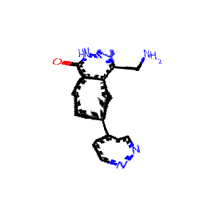 NCc1n[nH]c(=O)c2ccc(-c3ccnnc3)cc12